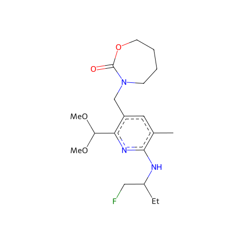 CCC(CF)Nc1nc(C(OC)OC)c(CN2CCCCOC2=O)cc1C